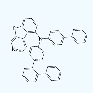 c1ccc(-c2ccc(N(c3ccc(-c4ccccc4-c4ccccc4)cc3)c3cccc4oc5cnccc5c34)cc2)cc1